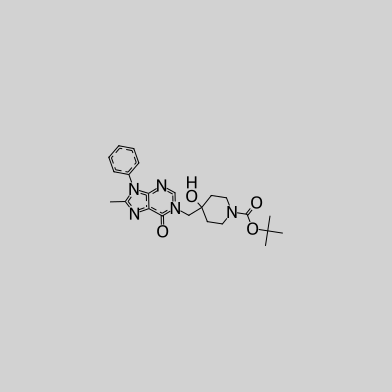 Cc1nc2c(=O)n(CC3(O)CCN(C(=O)OC(C)(C)C)CC3)cnc2n1-c1ccccc1